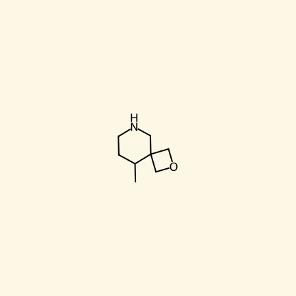 CC1CCNCC12COC2